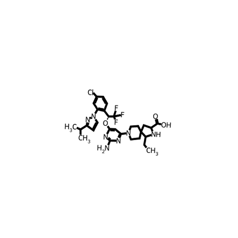 CCC1NC(C(=O)O)CC12CCN(c1cc(O[C@H](c3ccc(Cl)cc3-n3ccc(C(C)C)n3)C(F)(F)F)nc(N)n1)CC2